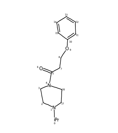 CC(C)N1CCN(C(=O)CCOc2ccccc2)CC1